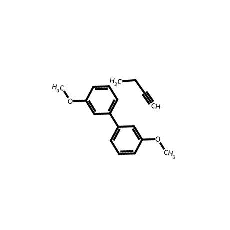 C#CCC.COc1cccc(-c2cccc(OC)c2)c1